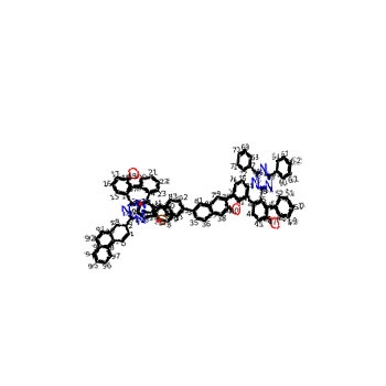 C1=CC(c2nc(-c3ccccc3)nc(-c3cccc4oc5cccc(-c6cccc7sc8cc(-c9ccc%10cc%11oc%12c(-c%13ccc%14oc%15ccccc%15c%14c%13-c%13nc(-c%14ccccc%14)nc(-c%14ccccc%14)n%13)cccc%12c%11cc%10c9)ccc8c67)c5c34)n2)Cc2ccc3ccccc3c21